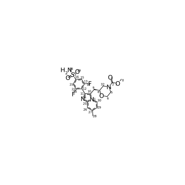 COC(=O)N1CCO[C@@H](Cc2c(-c3c(F)cc(S(N)(=O)=O)cc3F)nc3cc(C)ccn23)C1